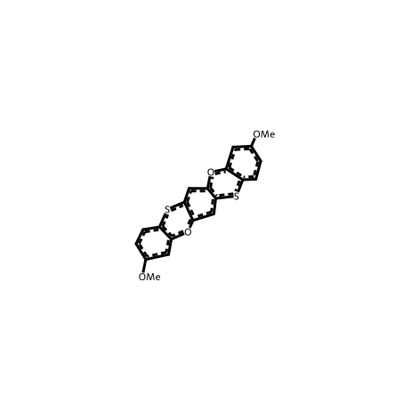 COc1ccc2sc3cc4oc5cc(OC)ccc5sc4cc3oc2c1